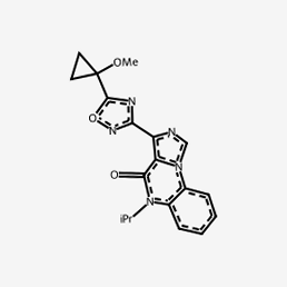 COC1(c2nc(-c3ncn4c3c(=O)n(C(C)C)c3ccccc34)no2)CC1